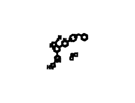 ClOCl.N#Cc1cnn2cc(-c3cnn(C4CNC4)c3)cc(-c3ccc(N4CCN(Cc5ccccc5)CC4)nc3)c12